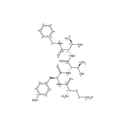 C[C@@H](O)[C@H](NC(=O)[C@H](Cc1ccc(O)cc1)NC(=O)[C@@H](N)CCC(=O)O)C(=O)N[C@H](C(=O)NCc1ccccc1)[C@@H](C)O